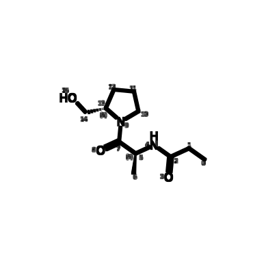 CCC(=O)N[C@@H](C)C(=O)N1CCC[C@H]1CO